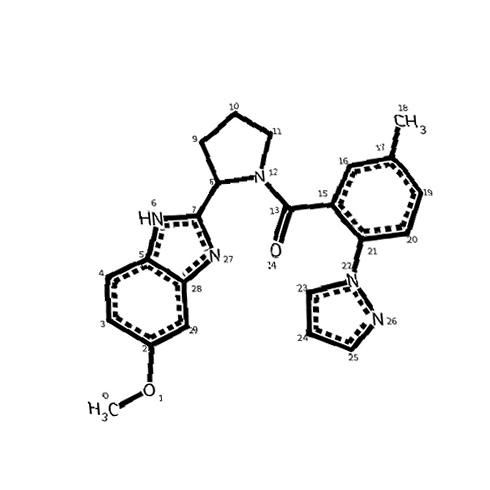 COc1ccc2[nH]c(C3CCCN3C(=O)c3cc(C)ccc3-n3cccn3)nc2c1